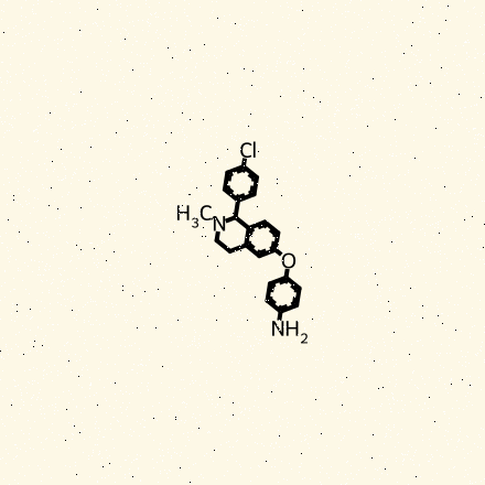 CN1CCc2cc(Oc3ccc(N)cc3)ccc2C1c1ccc(Cl)cc1